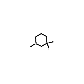 CN1CCC[C@](C)(F)C1